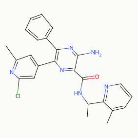 Cc1cc(-c2nc(C(=O)NC(C)c3ncccc3C)c(N)nc2-c2ccccc2)cc(Cl)n1